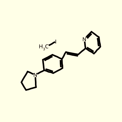 C(=Cc1ccccn1)c1ccc(N2CCCC2)cc1.CI